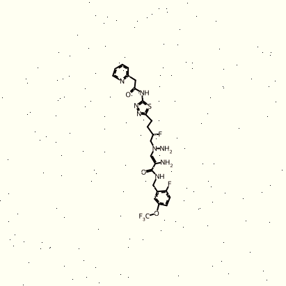 N/C(=C\N(N)CC(F)CCc1nnc(NC(=O)Cc2ccccn2)s1)C(=O)NCc1cc(OC(F)(F)F)ccc1F